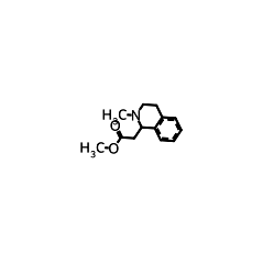 COC(=O)CC1c2ccccc2CCN1C